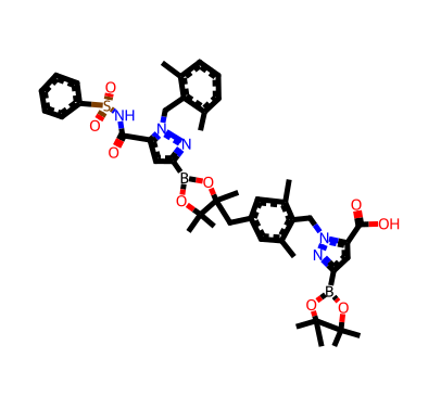 Cc1cc(CC2(C)OB(c3cc(C(=O)NS(=O)(=O)c4ccccc4)n(Cc4c(C)cccc4C)n3)OC2(C)C)cc(C)c1Cn1nc(B2OC(C)(C)C(C)(C)O2)cc1C(=O)O